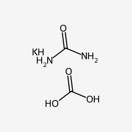 NC(N)=O.O=C(O)O.[KH]